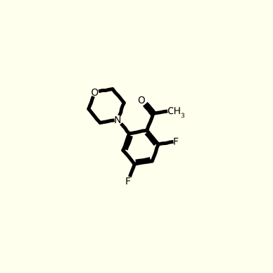 CC(=O)c1c(F)cc(F)cc1N1CCOCC1